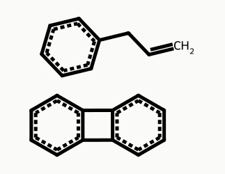 C=CCc1ccccc1.c1ccc2c(c1)-c1ccccc1-2